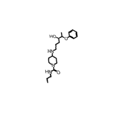 CCCNC(=O)N1CCC(NCCCC(O)C(C)Oc2ccccc2)CC1